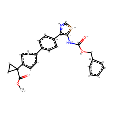 COC(=O)C1(c2ccc(-c3ccc(-c4ncsc4NC(=O)OCc4ccccc4)cc3)cc2)CC1